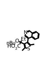 CCCCOC(CC)(C(=O)O)c1c(C)sc(C)c1-c1cncc2ccccc12